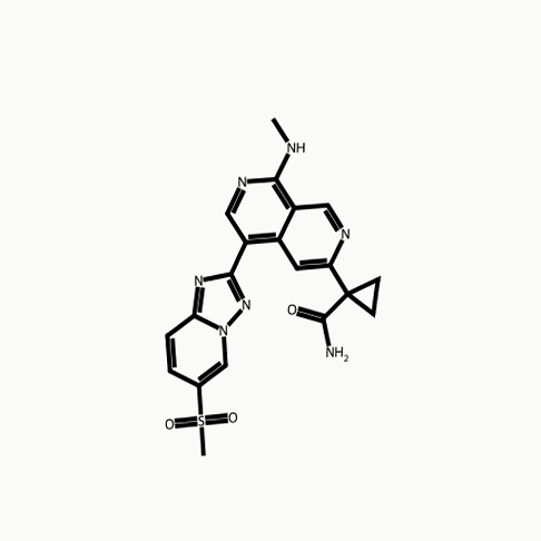 CNc1ncc(-c2nc3ccc(S(C)(=O)=O)cn3n2)c2cc(C3(C(N)=O)CC3)ncc12